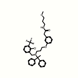 COCCCNC(=O)Cc1cccc(OCCCN(Cc2cccc(C(F)(F)F)c2Cl)C(C)(c2ccccc2)c2ccccc2)c1